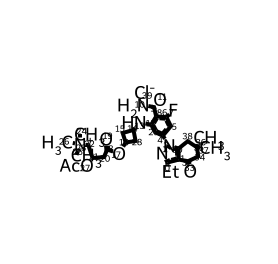 CCc1nn(-c2cc(F)c(C(N)=O)c(NC3CC(OC(=O)CC(C[N+](C)(C)C)OC(C)=O)C3)c2)c2c1C(=O)CC(C)(C)C2.[Cl-]